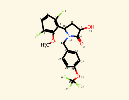 COc1c(F)ccc(F)c1C1CC(O)C(=O)N1Cc1ccc(OC(F)(F)F)cc1